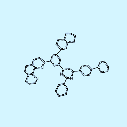 c1ccc(-c2ccc(-c3cc(-c4cc(-c5ccc6ccccc6c5)cc(-c5ccc6ccc7cccnc7c6n5)c4)nc(-c4ccccc4)n3)cc2)cc1